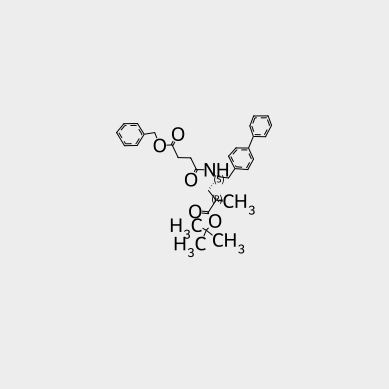 C[C@H](C[C@@H](Cc1ccc(-c2ccccc2)cc1)NC(=O)CCC(=O)OCc1ccccc1)C(=O)OC(C)(C)C